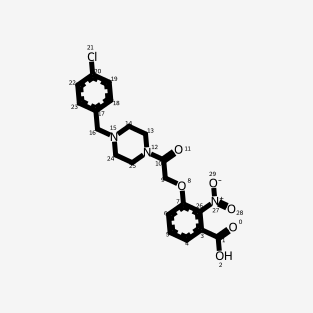 O=C(O)c1cccc(OCC(=O)N2CCN(Cc3ccc(Cl)cc3)CC2)c1[N+](=O)[O-]